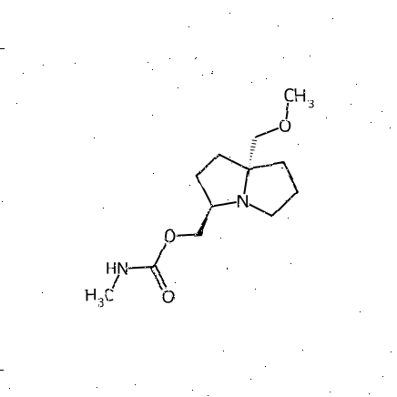 CNC(=O)OC[C@H]1CC[C@@]2(COC)CCCN12